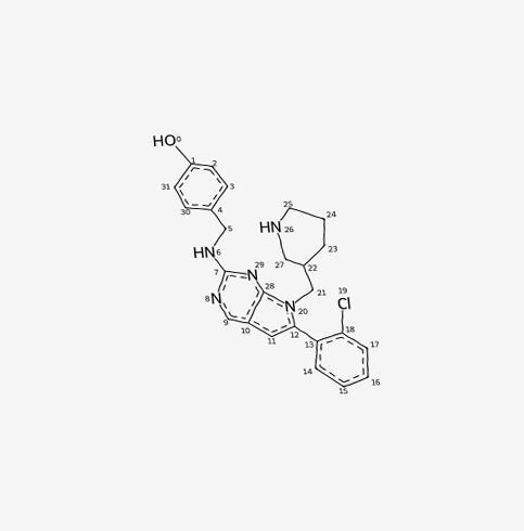 Oc1ccc(CNc2ncc3cc(-c4ccccc4Cl)n(CC4CCCNC4)c3n2)cc1